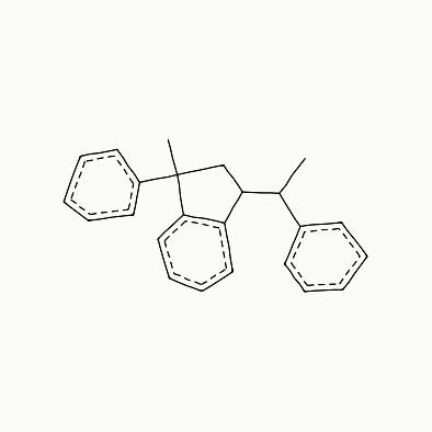 CC(c1ccccc1)C1CC(C)(c2ccccc2)c2ccccc21